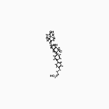 O=C(O)CCCc1ccc(-c2ccc(-c3nc4nc(O[C@@H]5CO[C@H]6[C@@H]5OC[C@H]6O)[nH]c4cc3Cl)cc2)cc1